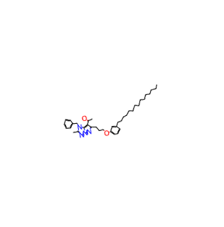 CCCCCCCCCCCCCCCc1cccc(OCCCc2nn3nc(C)n(Cc4ccccc4)c3c2C(C)=O)c1